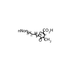 C=C(C=C(C)C(=O)O)C(=O)OCCCCCCCCCCCCCC